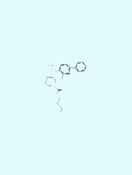 CCCCOC(=O)N1CCC[C@H](NS(C)(=O)=O)[C@@H]1Cc1cccc(-c2ccccc2)c1